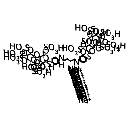 O=S(=O)(O)OC[C@H]1O[C@@H](Sc2ccc(NCCCCNc3ccc(S[C@@H]4O[C@H](COS(=O)(=O)O)[C@@H](O[C@@H]5O[C@H](COS(=O)(=O)O)[C@@H](OS(=O)(=O)O)[C@H](OS(=O)(=O)O)[C@H]5OS(=O)(=O)O)[C@H](OS(=O)(=O)O)[C@H]4OS(=O)(=O)O)cc3)cc2)[C@H](OS(=O)(=O)O)[C@@H](OS(=O)(=O)O)[C@@H]1O[C@@H]1O[C@H](COS(=O)(=O)O)[C@@H](OS(=O)(=O)O)[C@H](OS(=O)(=O)O)[C@H]1OS(=O)(=O)O.[Na+].[Na+].[Na+].[Na+].[Na+].[Na+].[Na+].[Na+].[Na+].[Na+].[Na+].[Na+].[Na+].[Na+]